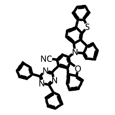 N#Cc1cc(-n2c3ccccc3c3c4sc5ccccc5c4ccc32)c2oc3ccccc3c2c1-c1nc(-c2ccccc2)nc(-c2ccccc2)n1